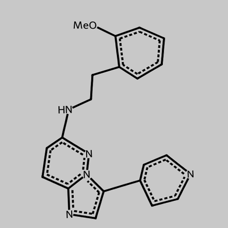 COc1ccccc1CCNc1ccc2ncc(-c3ccncc3)n2n1